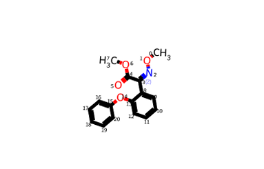 CO/N=C(\C(=O)OC)c1ccccc1Oc1ccccc1